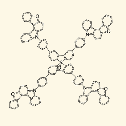 O=S12(c3ccc(-c4ccc(-n5c6ccccc6c6c7c(ccc65)oc5ccccc57)cc4)cc3-c3cc(-c4ccc(-n5c6ccccc6c6c7c(ccc65)oc5ccccc57)cc4)ccc31)c1ccc(-c3ccc(-n4c5ccccc5c5c6c(ccc54)oc4ccccc46)cc3)cc1-c1cc(-c3ccc(-n4c5ccccc5c5c6c(ccc54)oc4ccccc46)cc3)ccc12